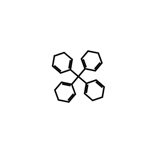 C1=CC(C(C2=CCCC=C2)(C2=CCCC=C2)C2=CCCC=C2)=CCC1